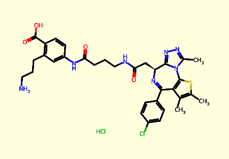 Cc1sc2c(c1C)C(c1ccc(Cl)cc1)=N[C@@H](CC(=O)NCCCC(=O)Nc1ccc(C(=O)O)c(CCCN)c1)c1nnc(C)n1-2.Cl